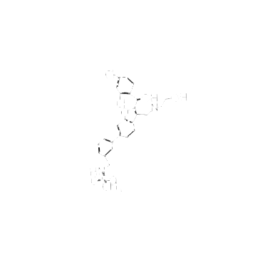 CS(=O)(=O)NCc1cccc(-c2ccc3c(CNCCO)c(C(=O)c4ccc(Cl)cc4Cl)oc3c2)c1